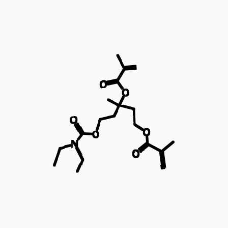 C=C(C)C(=O)OCCC(C)(CCOC(=O)N(CC)CC)OC(=O)C(=C)C